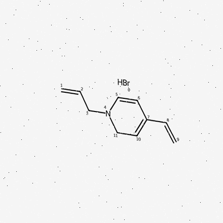 Br.C=CCN1C=CC(C=C)=CC1